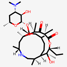 CC[C@H]1OC(=O)[C@H](C)C(=O)[C@H](C)[C@@H](O[C@@H]2O[C@H](C)C[C@H](N(C)C)[C@H]2O)[C@@]2(C)C[C@@H](C)NC[C@H](C)[C@@H](CCC(C)CO2)[C@]1(C)O